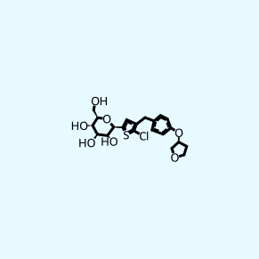 OC[C@H]1O[C@@H](c2cc(Cc3ccc(O[C@H]4CCOC4)cc3)c(Cl)s2)[C@H](O)[C@@H](O)[C@@H]1O